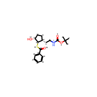 CC(C)(C)OC(=O)NCC[C@H]1CC[C@@H](O)[C@@H]1SC(=O)c1ccccc1